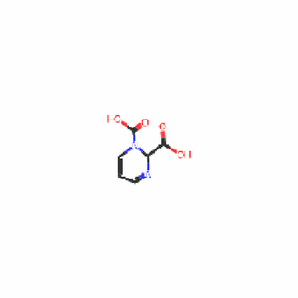 O=C(O)C1N=CC=CN1C(=O)O